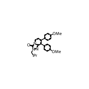 COc1ccc(-c2ccn3c(=O)n(CC(C)C)nc3c2-c2ccc(OC)cc2)cc1